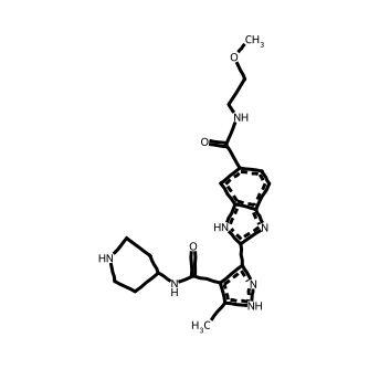 COCCNC(=O)c1ccc2nc(-c3n[nH]c(C)c3C(=O)NC3CCNCC3)[nH]c2c1